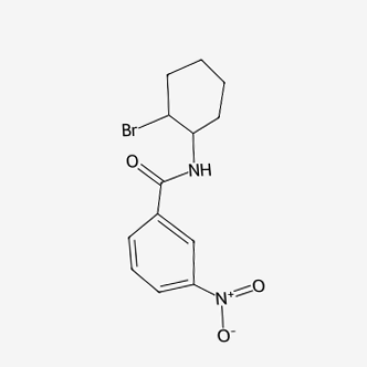 O=C(NC1CCCCC1Br)c1cccc([N+](=O)[O-])c1